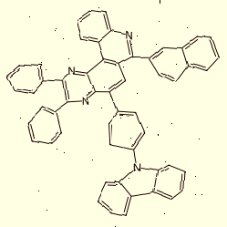 c1ccc(-c2nc3c(-c4ccc(-n5c6ccccc6c6ccccc65)cc4)cc4c(-c5ccc6ccccc6c5)nc5ccccc5c4c3nc2-c2ccccc2)cc1